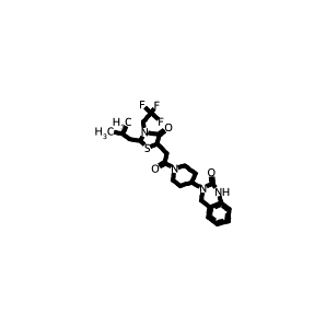 CC(C)CC1SC(CC(=O)N2CCC(N3Cc4ccccc4NC3=O)CC2)C(=O)N1CC(F)(F)F